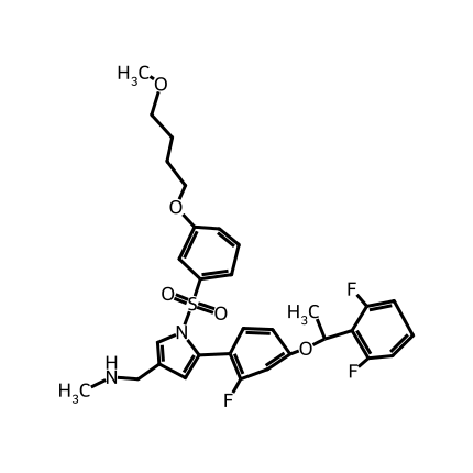 CNCc1cc(-c2ccc(OC(C)c3c(F)cccc3F)cc2F)n(S(=O)(=O)c2cccc(OCCCCOC)c2)c1